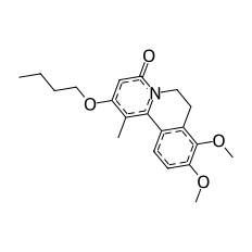 CCCCOc1cc(=O)n2c(c1C)-c1ccc(OC)c(OC)c1CC2